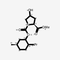 COC(=O)[C@@H]1CC(O)CN1C(=O)OC1C[C@H](C)CCC1C(C)C